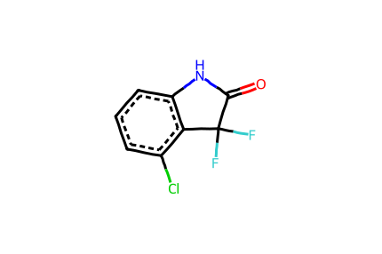 O=C1Nc2cccc(Cl)c2C1(F)F